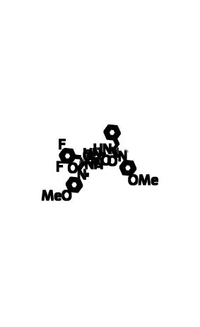 COc1ccc(N(C)C(=O)[C@H](Cc2ccccc2)NC(=O)NS(=O)(=O)N[C@@H](Cc2cc(F)cc(F)c2)C(=O)N(C)c2ccc(OC)cc2)cc1